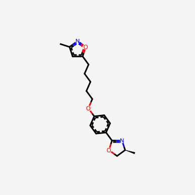 Cc1cc(CCCCCOc2ccc(C3=N[C@@H](C)CO3)cc2)on1